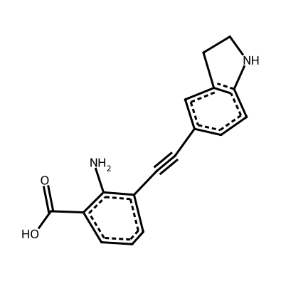 Nc1c(C#Cc2ccc3c(c2)CCN3)cccc1C(=O)O